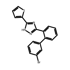 Brc1cccc(-c2ccccc2-c2n[nH]c(-c3cccs3)n2)c1